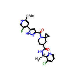 COc1cc(-c2cc(C(=O)N3CCC(C(=O)N[C@@H](C)c4ncccc4Cl)CC34CC4)n[nH]2)c(F)cn1